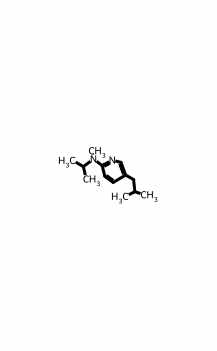 CC(C)Cc1ccc(N(C)C(C)C)nc1